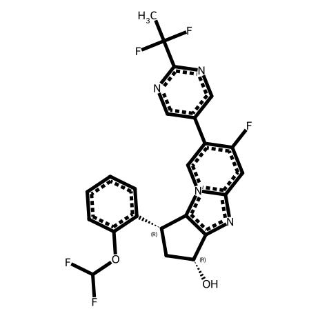 CC(F)(F)c1ncc(-c2cn3c4c(nc3cc2F)[C@H](O)C[C@@H]4c2ccccc2OC(F)F)cn1